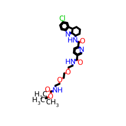 CC(C)(C)OC(=O)NCCOCCOCCNC(=O)c1ccc(C(=O)NC2CCCC3C2=Nc2ccc(Cl)cc23)nc1